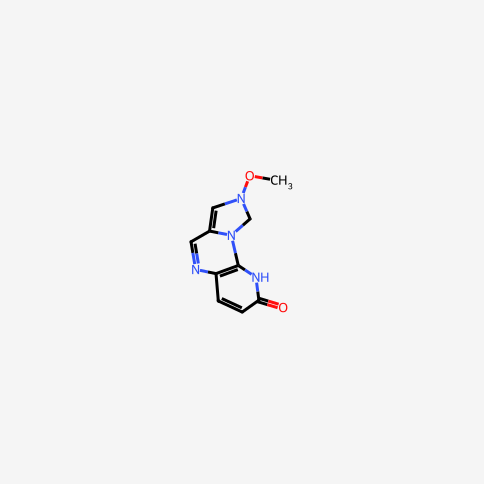 CON1C=C2C=Nc3ccc(=O)[nH]c3N2C1